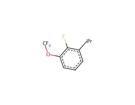 CC(C)c1cccc(OC(F)(F)F)c1F